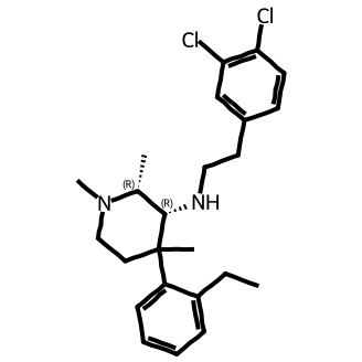 CCc1ccccc1C1(C)CCN(C)[C@H](C)[C@@H]1NCCc1ccc(Cl)c(Cl)c1